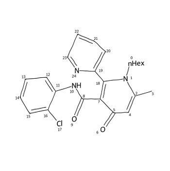 CCCCCCn1c(C)cc(=O)c(C(=O)Nc2ccccc2Cl)c1-c1ccccn1